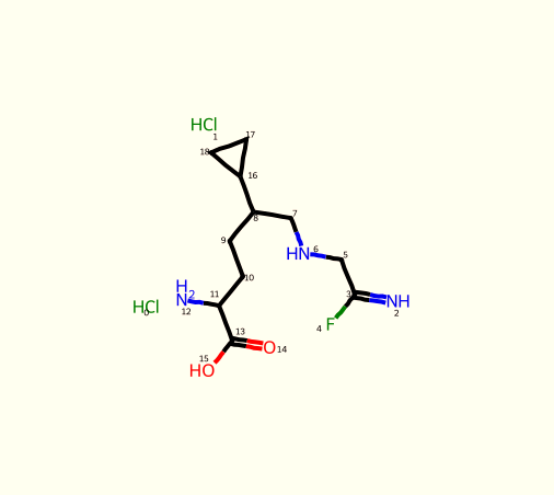 Cl.Cl.N=C(F)CNCC(CCC(N)C(=O)O)C1CC1